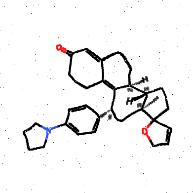 C[C@]12C[C@H](c3ccc(N4CCCC4)cc3)C3=C4CCC(=O)C=C4CC[C@H]3[C@@H]1CCC21C=CCO1